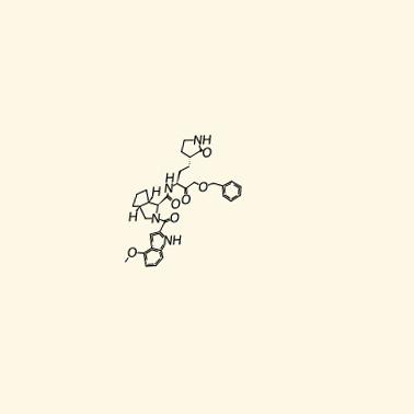 COc1cccc2[nH]c(C(=O)N3C[C@@H]4CCC[C@@H]4[C@H]3C(=O)N[C@@H](CC[C@@H]3CCNC3=O)C(=O)COCc3ccccc3)cc12